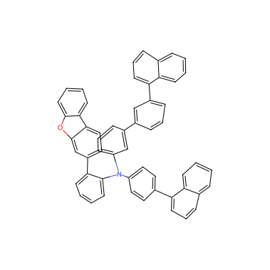 c1cc(-c2cccc(N(c3ccc(-c4cccc5ccccc45)cc3)c3ccccc3-c3ccc4c(c3)oc3ccccc34)c2)cc(-c2cccc3ccccc23)c1